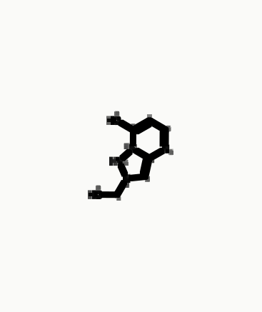 OCN1C=C2N=CC=C(O)N2N1